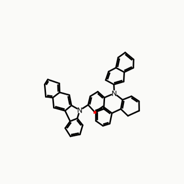 C1=CC(N(c2ccc(-n3c4ccccc4c4cc5ccccc5cc43)cc2)c2ccc3ccccc3c2)=C(c2ccccc2)CC1